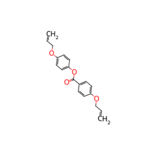 C=CCOc1ccc(OC(=O)c2ccc(OCC=C)cc2)cc1